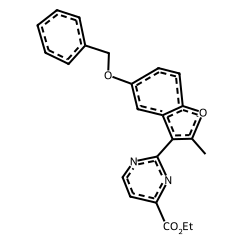 CCOC(=O)c1ccnc(-c2c(C)oc3ccc(OCc4ccccc4)cc23)n1